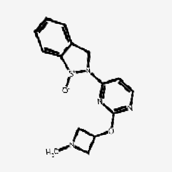 CN1CC(Oc2nccc(N3Cc4ccccc4[S+]3[O-])n2)C1